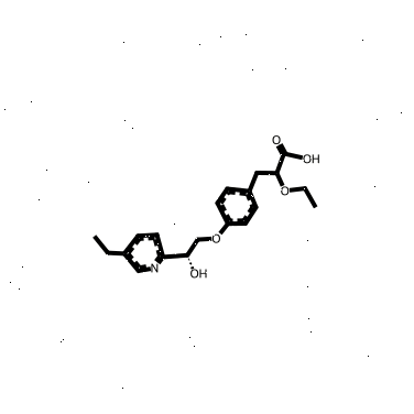 CCOC(Cc1ccc(OC[C@H](O)c2ccc(CC)cn2)cc1)C(=O)O